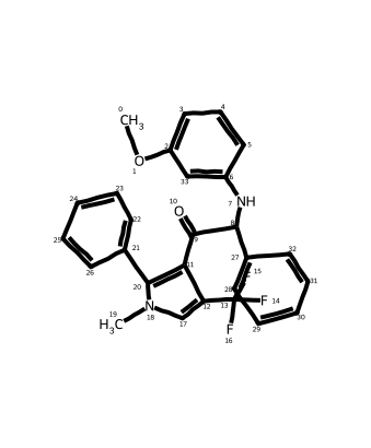 COc1cccc(NC(C(=O)c2c(C(F)(F)F)cn(C)c2-c2ccccc2)c2ccccc2)c1